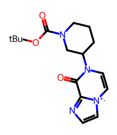 CC(C)(C)OC(=O)N1CCCC(N2C=C[N+]3C=CN=C3C2=O)C1